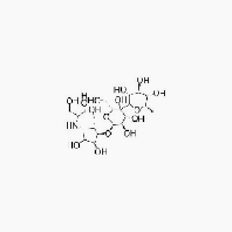 C[C@H]1O[C@@H]([C@]2(O)[C@H](O)[C@@H](O)[C@@H](O[C@H]3[C@@H](O)[C@@H](O)[C@H](NC(CO)CO)[C@@H]3CO)O[C@@H]2CO)[C@H](O)[C@@H](O)[C@@H]1O